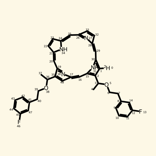 [2H]c1c(C(C)OCCc2cccc(F)c2)c2cc3nc(cc4ccc(cc5nc(cc1[nH]2)C=C5)[nH]4)C(C(C)OCCc1cccc(F)c1)=C3